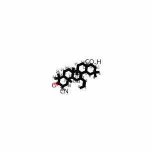 C/C=C\C1=C2C3CC(C)(C)CCC3(C(=O)O)CCC2(C)C2(C)CCC3C(C)(C)C(=O)C(C#N)CC3(C)C2C1